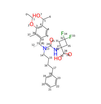 CCOc1c(C(C)O)ccc([C@@H](C)N(CCCCc2ccccc2)C(=O)NC2(C(=O)O)CC(F)(F)C2)c1C